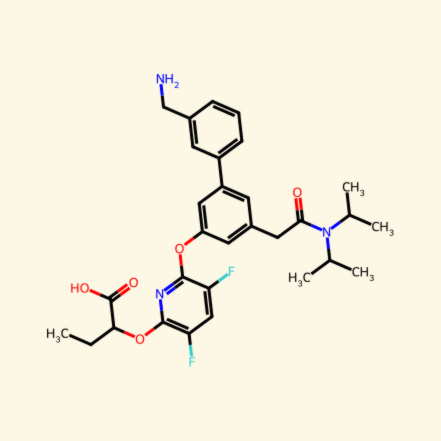 CCC(Oc1nc(Oc2cc(CC(=O)N(C(C)C)C(C)C)cc(-c3cccc(CN)c3)c2)c(F)cc1F)C(=O)O